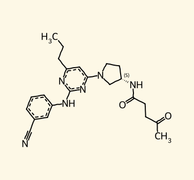 CCCc1cc(N2CC[C@H](NC(=O)CCC(C)=O)C2)nc(Nc2cccc(C#N)c2)n1